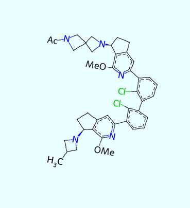 COc1nc(-c2cccc(-c3cccc(-c4cc5c(c(OC)n4)[C@@H](N4CC6(CN(C(C)=O)C6)C4)CC5)c3Cl)c2Cl)cc2c1[C@@H](N1CC(C)C1)CC2